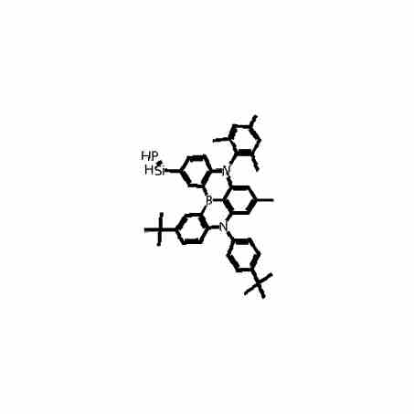 Cc1cc(C)c(N2c3ccc([SiH]=P)cc3B3c4cc(C(C)(C)C)ccc4N(c4ccc(C(C)(C)C)cc4)c4cc(C)cc2c43)c(C)c1